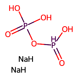 O=[PH](O)OP(=O)(O)O.[NaH].[NaH]